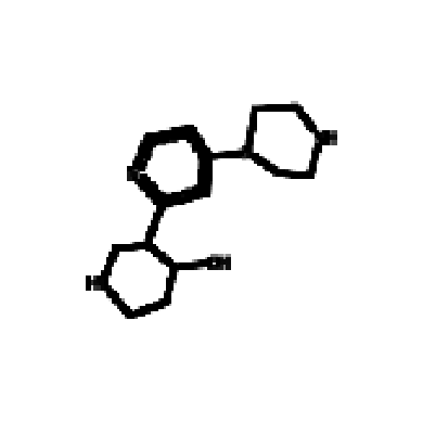 OC1CCNCC1c1cc(N2CCNCC2)ccn1